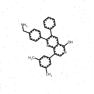 Cc1cc(C)cc(-c2cnc(O)c3cc(-c4ccccc4)c(-c4ccc(CN)cc4)nc23)c1